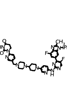 Cc1nc2c(F)cc(-c3nc(Nc4ccc(N5CCC(N6CCN(Cc7ccc(N8CCC(=O)NC8=O)nc7)CC6)CC5)cn4)ncc3F)cc2n1C(C)C